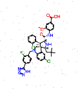 COc1cc(C(=O)O)ccc1NC(=O)[C@@H]1N[C@@H](CC(C)(C)C)[C@@]2(CN(Cc3ccc(-c4nnn[nH]4)cc3F)c3ccc(Cl)cc32)[C@H]1c1ccccc1Cl